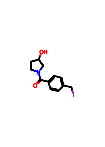 O=C(c1ccc(CI)cc1)N1CCC(O)C1